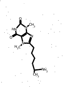 CC(N)CCCCc1nc2c(c(=O)[nH]c(=O)n2C)n1C